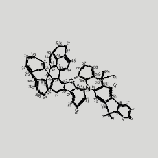 CC1(C)c2ccccc2-c2cc3c(cc21)N(c1cccc2c1oc1c4c(ccc12)C1(c2ccccc2-c2ccccc21)c1ccc2c5c(ccc-4c15)CC2)c1ccccc1C3(C)C